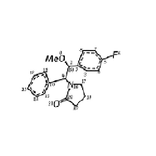 CO[C@@H](c1ccc(F)cc1)C(c1ccccc1)N1CCCC1=O